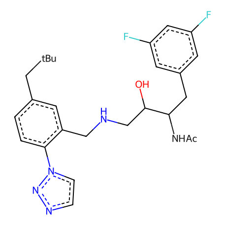 CC(=O)NC(Cc1cc(F)cc(F)c1)C(O)CNCc1cc(CC(C)(C)C)ccc1-n1ccnn1